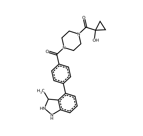 CC1NNc2cccc(-c3ccc(C(=O)N4CCN(C(=O)C5(O)CC5)CC4)cc3)c21